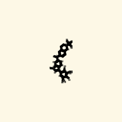 CN(c1ccc2c(c1)CCN(S(C)(=O)=O)C2)c1ncc2c(-c3cc(C(F)(F)F)c(F)c(O)c3F)nn(C)c2n1